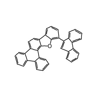 c1ccc2c(c1)cc(-c1cccc3c1oc1c3ccc3c4ccccc4c4ccccc4c31)c1ccccc12